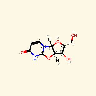 O=C1C=CN2C(N1)O[C@@H]1[C@H](O)[C@@H](CO)O[C@H]12